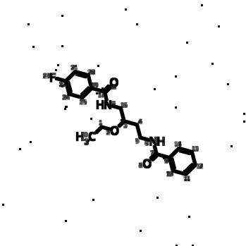 CCOC(CCNC(=O)c1ccccc1)CNC(=O)c1ccc(F)cc1